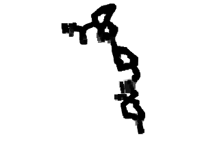 CN1CCC(O)(CNCc2ccc(-n3cc4cccc(C(N)=O)c4n3)cc2)CC1